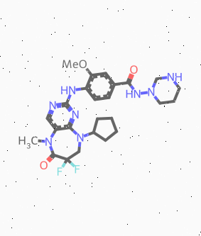 COc1cc(C(=O)NN2CCCNC2)ccc1Nc1ncc2c(n1)N(C1CCCC1)CC(F)(F)C(=O)N2C